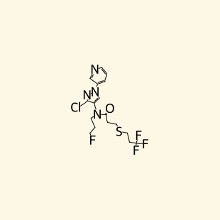 O=C(CCSCCC(F)(F)F)N(CCCF)c1cn(-c2cccnc2)nc1Cl